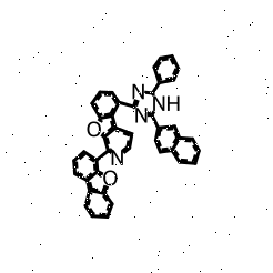 c1ccc(C2N=C(c3cccc4oc5c(-c6cccc7c6oc6ccccc67)nccc5c34)N=C(c3ccc4ccccc4c3)N2)cc1